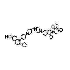 O=C1CC[C@@H](N2Cc3cc(N4CCN(CC5CCN(c6ccc([C@H]7c8ccc(O)cc8CC[C@H]7C7CCCC7)cc6)CC5)CC4)ccc3C2=O)C(=O)N1